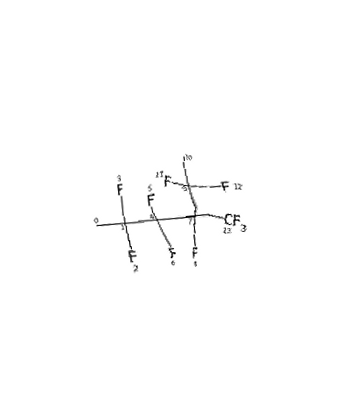 CC(F)(F)C(F)(F)C(F)(C(C)(F)F)C(F)(F)F